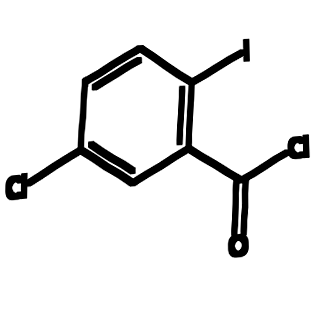 O=C(Cl)c1cc(Cl)ccc1I